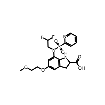 COCCOc1cc2c(c(N(CC(F)F)S(=O)(=O)c3ccccn3)c1)NC(C(=O)O)C2